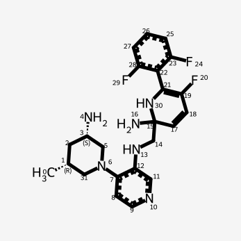 C[C@@H]1C[C@H](N)CN(c2ccncc2NCC2(N)C=CC(F)=C(c3c(F)cccc3F)N2)C1